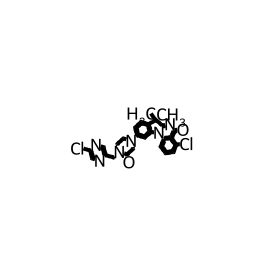 CC1(C)c2ccc(N3CCN(Cc4cnc(Cl)cn4)C(=O)C3)cc2-n2c1nc(=O)c1c(Cl)cccc12